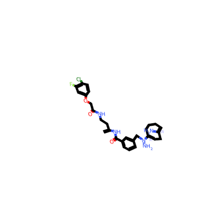 C=C(CCNC(=O)COc1ccc(Cl)c(F)c1)NC(=O)c1cccc(CN(N)/C2=C/C/C(N)=C/CCC2)c1